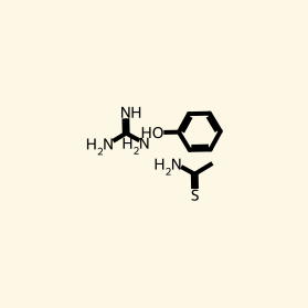 CC(N)=S.N=C(N)N.Oc1ccccc1